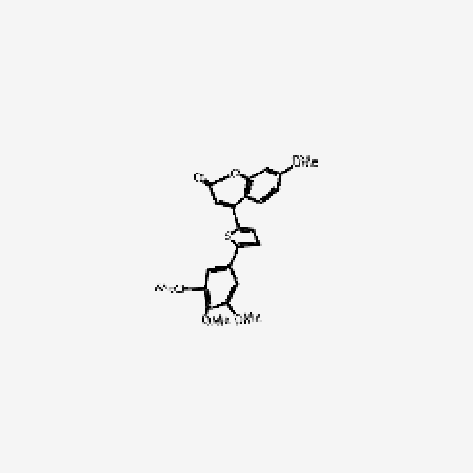 COc1ccc2c(-c3ccc(-c4cc(OC)c(OC)c(OC)c4)s3)cc(=O)oc2c1